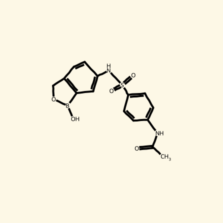 CC(=O)Nc1ccc(S(=O)(=O)Nc2ccc3c(c2)B(O)OC3)cc1